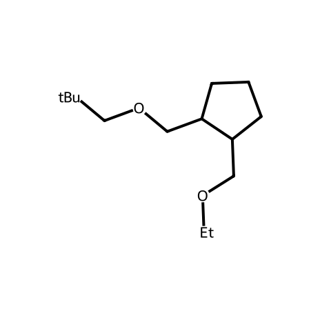 CCOCC1CCCC1COCC(C)(C)C